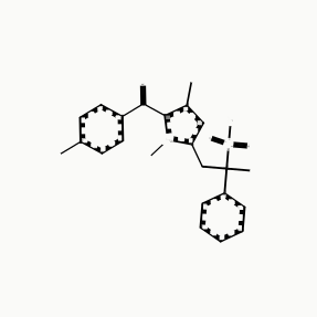 Cc1ccc(C(=S)c2c(C)cc(CC(C)(c3ccccc3)S(N)(=O)=O)n2C)cc1